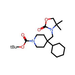 CC(C)(C)OC(=O)N1CCC(CN2C(=O)OCC2(C)C)(C2CCCCC2)CC1